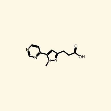 Cn1nc(CCC(=O)O)cc1-c1ccncn1